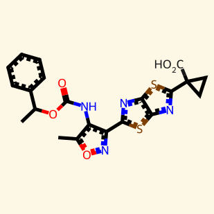 Cc1onc(-c2nc3sc(C4(C(=O)O)CC4)nc3s2)c1NC(=O)OC(C)c1ccccc1